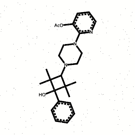 CC(=O)Oc1cccnc1N1CCN(C2C(C)(C)C(O)(c3ccccc3)C2(C)C)CC1